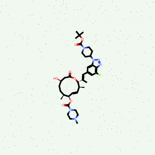 C/C(=C\c1cc(F)c2nnn(C3CCN(C(=O)OC(C)(C)C)CC3)c2c1)[C@H]1OC(=O)C[C@H](O)CC[C@H](C)[C@H](OC(=O)N2CCN(C)CC2)/C=C/[C@@H]1C